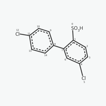 O=S(=O)(O)c1ccc(Cl)cc1-c1ccc(Cl)cc1